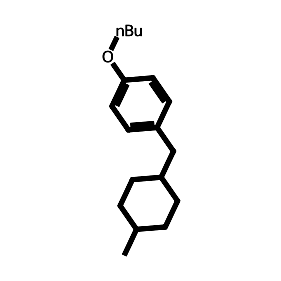 CCCCOc1ccc(CC2CCC(C)CC2)cc1